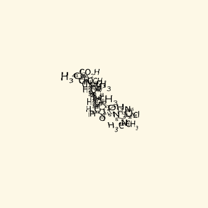 CC(C)C1=C2C(C(O)CN(CCN(C)C)Cc3ccc(Cl)cn3)(CC[C@]3(C)[C@]2(C)CC[C@@H]2[C@@]4(C)CC[C@H](OC(=O)CC(C)(C)C(=O)O)C(C)(C)[C@@H]4CC[C@]23C)CC1=O